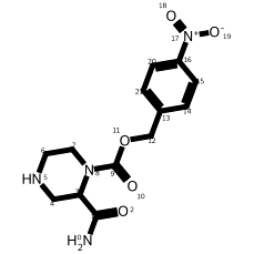 NC(=O)C1CNCCN1C(=O)OCc1ccc([N+](=O)[O-])cc1